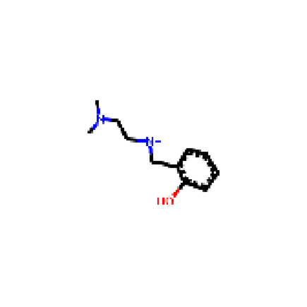 CN(C)CCNCc1ccccc1O